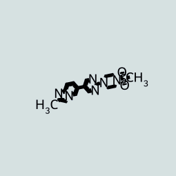 Cc1cn2cc(-c3cnc(N4CCN(S(C)(=O)=O)CC4)nc3)ccc2n1